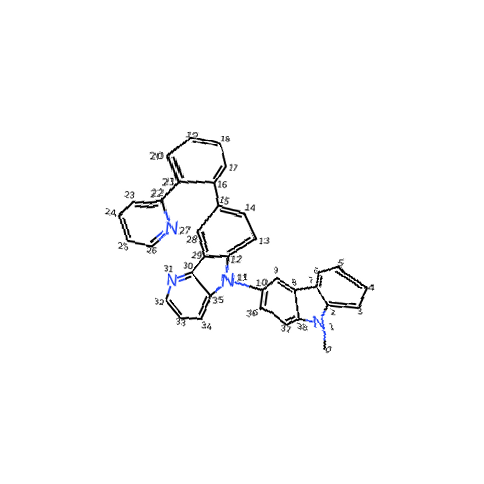 Cn1c2ccccc2c2cc(-n3c4ccc(-c5ccccc5-c5ccccn5)cc4c4ncccc43)ccc21